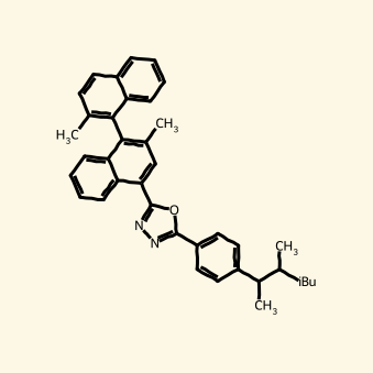 CCC(C)C(C)C(C)c1ccc(-c2nnc(-c3cc(C)c(-c4c(C)ccc5ccccc45)c4ccccc34)o2)cc1